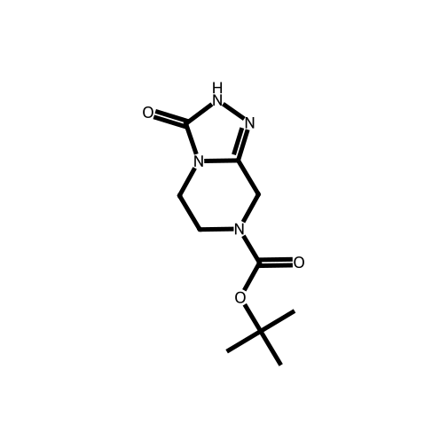 CC(C)(C)OC(=O)N1CCn2c(n[nH]c2=O)C1